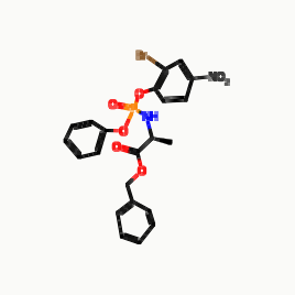 C[C@H](NP(=O)(Oc1ccccc1)Oc1ccc([N+](=O)[O-])cc1Br)C(=O)OCc1ccccc1